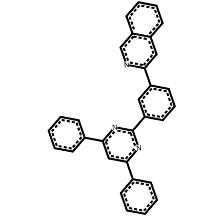 c1ccc(-c2cc(-c3ccccc3)nc(-c3cccc(-c4cc5ccccc5cn4)c3)n2)cc1